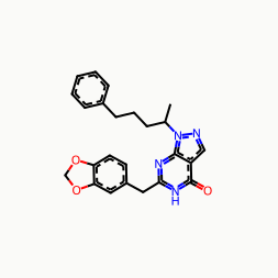 CC(CCCc1ccccc1)n1ncc2c(=O)[nH]c(Cc3ccc4c(c3)OCO4)nc21